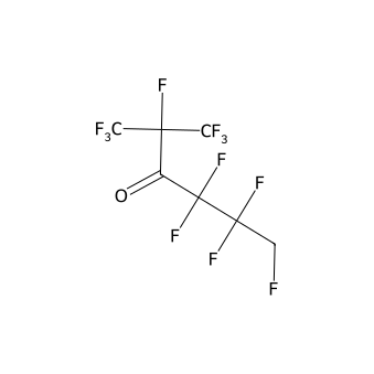 O=C(C(F)(F)C(F)(F)CF)C(F)(C(F)(F)F)C(F)(F)F